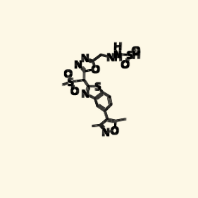 Cc1noc(C)c1-c1ccc2sc(C(c3nnc(CNN[SH](=O)=O)o3)S(C)(=O)=O)nc2c1